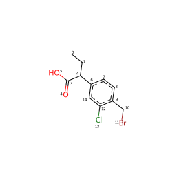 CCC(C(=O)O)c1ccc(CBr)c(Cl)c1